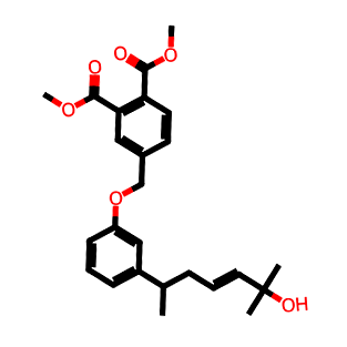 COC(=O)c1ccc(COc2cccc(C(C)C/C=C/C(C)(C)O)c2)cc1C(=O)OC